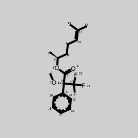 CO[C@@](C(=O)O[C@@H](C)CCC=C(C)C)(c1ccccc1)C(F)(F)F